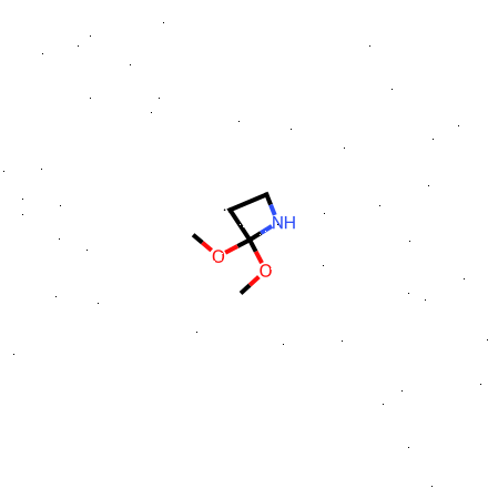 COC1(OC)[CH]CN1